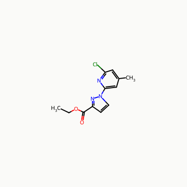 CCOC(=O)c1ccn(-c2cc(C)cc(Cl)n2)n1